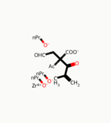 C=C(C)C(=O)C(CC=O)(C(C)=O)C(=O)[O-].CCC[O-].CCC[O-].CCC[O-].[Zr+4]